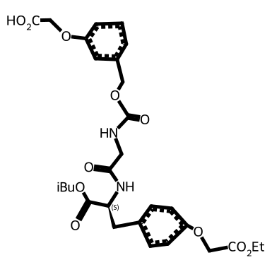 CCOC(=O)COc1ccc(C[C@H](NC(=O)CNC(=O)OCc2cccc(OCC(=O)O)c2)C(=O)OCC(C)C)cc1